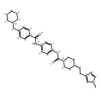 Cn1cnc(CCN2CCN(C(=O)Oc3ccc(NC(=O)c4ccc(CN5CCCCC5)cc4)nc3)CC2)c1